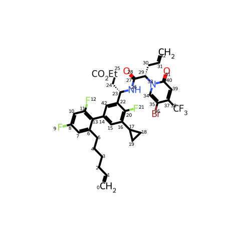 C=CCCCCc1cc(F)cc(F)c1-c1cc(C2CC2)c(F)c([C@H](CC(=O)OCC)NC(=O)[C@H](CC=C)n2cc(Br)c(C(F)(F)F)cc2=O)c1